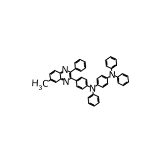 Cc1ccc2nc(-c3ccccc3)c(-c3ccc(N(c4ccccc4)c4ccc(N(c5ccccc5)c5ccccc5)cc4)cc3)nc2c1